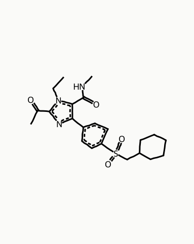 CCn1c(C(C)=O)nc(-c2ccc(S(=O)(=O)CC3CCCCC3)cc2)c1C(=O)NC